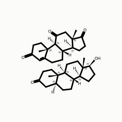 C[C@]12CCC(=O)C=C1CC[C@@H]1[C@@H]2C(=O)C[C@]2(C)C(=O)CC[C@@H]12.C[C@]12CCC(=O)C[C@@H]1CC[C@@H]1[C@@H]2CC[C@]2(C)[C@@H](O)CC[C@@H]12